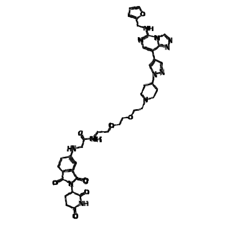 O=C(CNc1ccc2c(c1)C(=O)N(C1CCC(=O)NC1=O)C2=O)NCCOCCOCCN1CCC(n2cc(-c3cnc(NCc4ccco4)n4cnnc34)cn2)CC1